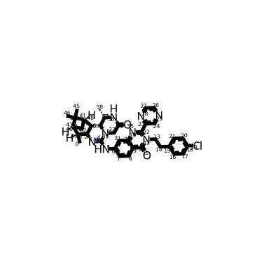 C[C@@H]1C(/N=C(/Nc2ccc3c(=O)n(CCc4ccc(Cl)cc4)c(-c4cnccn4)nc3c2)N2CC(=O)N[C@@H](C)C2)C[C@H]2C[C@@H]1C2(C)C